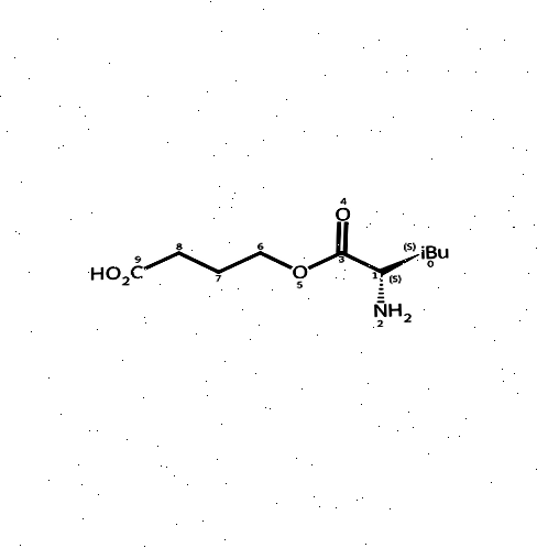 CC[C@H](C)[C@H](N)C(=O)OCCCC(=O)O